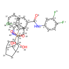 O=C(Nc1ccc(F)c(F)c1)c1ccc(Cl)c(S(=O)(=O)C2CC3CCC(C2)C3(O)C(O)c2ccc3ccccc3n2)c1